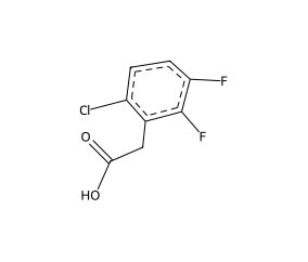 O=C(O)Cc1c(Cl)ccc(F)c1F